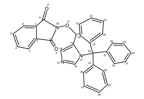 O=C1c2ccccc2C(=O)N1OCc1cncn1C(c1ccccc1)(c1ccccc1)c1ccccc1